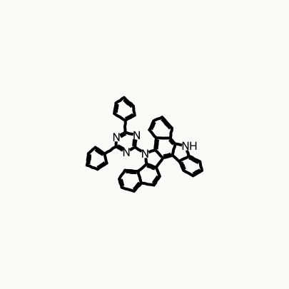 c1ccc(-c2nc(-c3ccccc3)nc(-n3c4c5ccccc5ccc4c4c5c6ccccc6[nH]c5c5ccccc5c43)n2)cc1